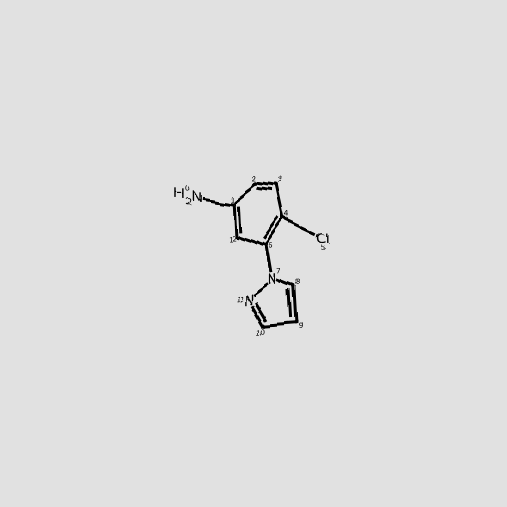 Nc1ccc(Cl)c(-n2cccn2)c1